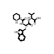 CC(C)[C@H](NC(=O)[C@H](Cc1c[nH]c2ccccc12)NC(=O)[C@@H]1CCCCN1)C(=O)O